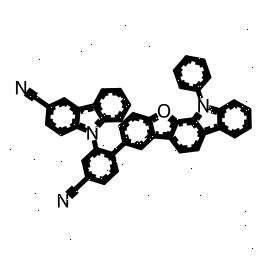 N#Cc1ccc(-c2ccc3oc4c(ccc5c6ccccc6n(-c6ccccc6)c54)c3c2)c(-n2c3ccccc3c3cc(C#N)ccc32)c1